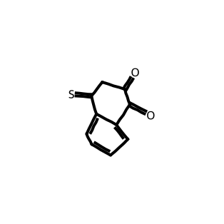 O=C1CC(=S)c2ccccc2C1=O